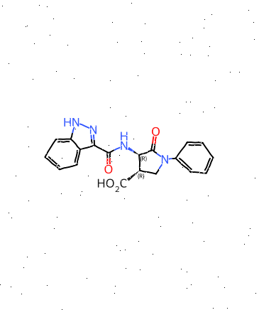 O=C(N[C@H]1C(=O)N(c2ccccc2)C[C@H]1C(=O)O)c1n[nH]c2ccccc12